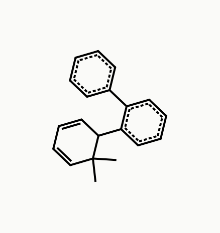 CC1(C)C=CC=CC1c1ccccc1-c1ccccc1